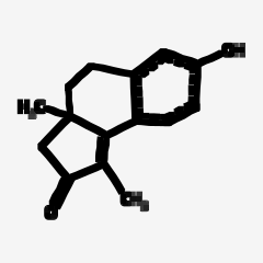 CC1=C2c3ccc(O)cc3CCC2(C)CC1=O